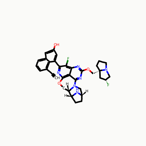 C#Cc1cccc2cc(O)cc(-c3nc4c5c(nc(OC[C@]67CCCN6C[C@H](F)C7)nc5c3F)N3C[C@@H]5CC[C@@H](N5)[C@@H]3CO4)c12